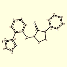 O=C1C(Oc2ccccc2-c2cnc[nH]2)CCN1c1ccccc1